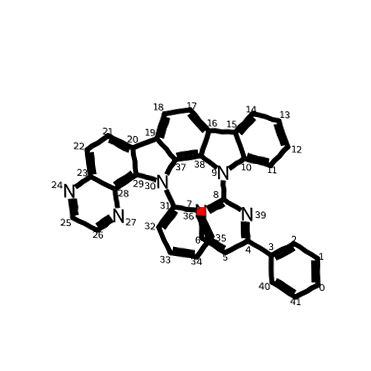 c1ccc(-c2ccnc(-n3c4ccccc4c4ccc5c6ccc7nccnc7c6n(-c6ccccc6)c5c43)n2)cc1